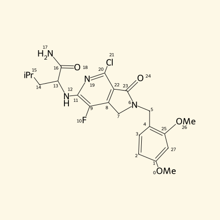 COc1ccc(CN2Cc3c(F)c(NC(CC(C)C)C(N)=O)nc(Cl)c3C2=O)c(OC)c1